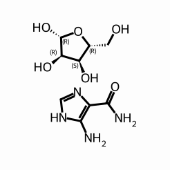 NC(=O)c1nc[nH]c1N.OC[C@H]1O[C@@H](O)[C@H](O)[C@@H]1O